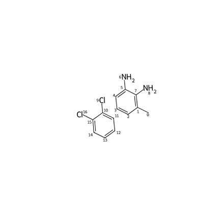 Cc1cccc(N)c1N.Clc1ccccc1Cl